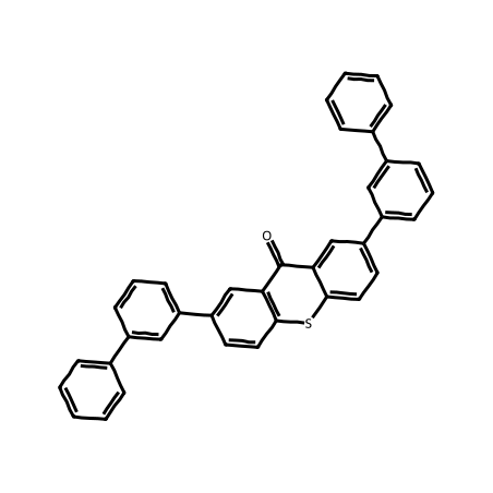 O=c1c2cc(-c3cccc(-c4ccccc4)c3)ccc2sc2ccc(-c3cccc(-c4ccccc4)c3)cc12